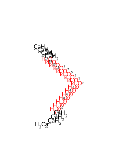 O.O.O.O.O.O.O.O.O.O.O.O.O.O.O.O.[CaH2].[CaH2].[CaH2].[CaH2].[CaH2].[CaH2].[CaH2].[CaH2]